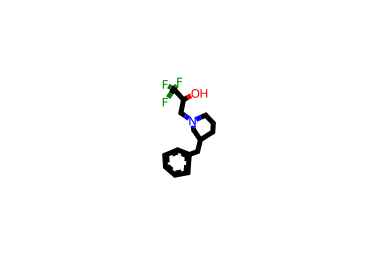 OC(CN1CCCC(Cc2ccccc2)C1)C(F)(F)F